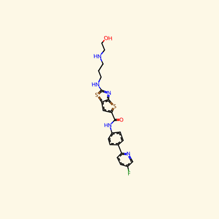 O=C(Nc1ccc(-c2ccc(F)cn2)cc1)c1cc2sc(NCCCNCCO)nc2s1